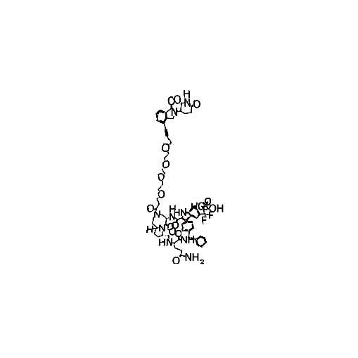 NC(=O)CCC(NC(=O)[C@@H]1CC[C@@H]2CCN(C(=O)CCOCCOCCOCCOCC#Cc3cccc4c3CN(C3CCC(=O)NC3=O)C4=O)C[C@H](NC(=O)c3cc4cc(C(F)(F)P(=O)(O)O)ccc4[nH]3)C(=O)N21)C(=O)NC(c1ccccc1)c1ccccc1